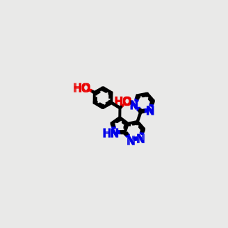 Oc1ccc(C(O)c2c[nH]c3nncc(-c4ncccn4)c23)cc1